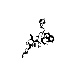 CC[C@H](C)[C@H](NC(=O)COCCF)C(=O)N[C@H]1CCc2cccc3c2N(C1=O)[C@H](C(=O)NCn1ccnc1)C3